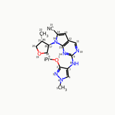 CC(C)Oc1nn(C)cc1Nc1ncc2cc(C#N)n([C@H]3COC[C@@H]3C)c2n1